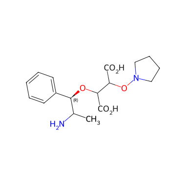 CC(N)[C@H](OC(C(=O)O)C(ON1CCCC1)C(=O)O)c1ccccc1